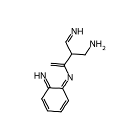 C=C(/N=C1/C=CC=CC1=N)C(C=N)CN